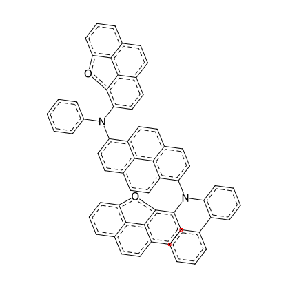 c1ccc(-c2ccccc2N(c2ccc3ccc4c(N(c5ccccc5)c5ccc6ccc7cccc8oc5c6c78)ccc5ccc2c3c54)c2ccc3ccc4cccc5oc2c3c45)cc1